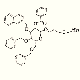 NCCCCCOC1OC(COCc2ccccc2)C(OCc2ccccc2)C(OCc2ccc3ccccc3c2)C1OC(=O)c1ccccc1